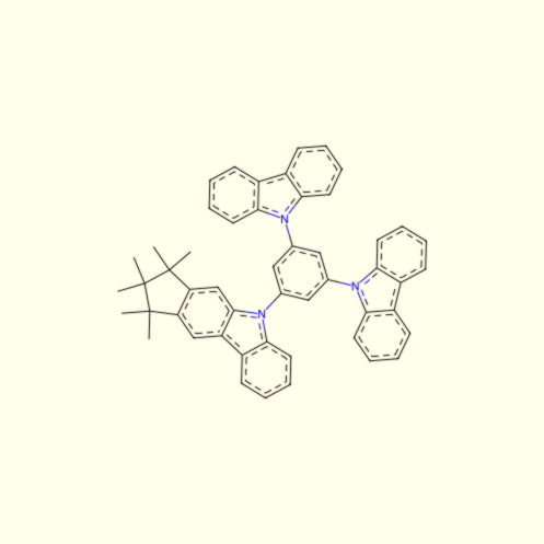 CC1(C)c2cc3c4ccccc4n(-c4cc(-n5c6ccccc6c6ccccc65)cc(-n5c6ccccc6c6ccccc65)c4)c3cc2C(C)(C)C1(C)C